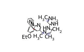 C=C(/C=C(C)\N=C(/C)c1ccc(N2CC3CC(C2)N3Cc2ccc(OCC)cc2)nc1)NC(=N)/C=C(/C)N